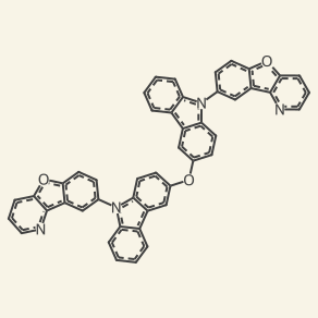 c1cnc2c(c1)oc1ccc(-n3c4ccccc4c4cc(Oc5ccc6c(c5)c5ccccc5n6-c5ccc6oc7cccnc7c6c5)ccc43)cc12